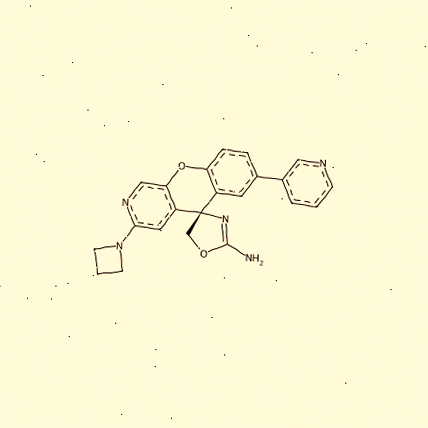 NC1=N[C@@]2(CO1)c1cc(-c3cccnc3)ccc1Oc1cnc(N3CCC3)cc12